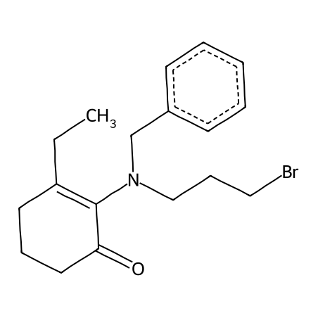 CCC1=C(N(CCCBr)Cc2ccccc2)C(=O)CCC1